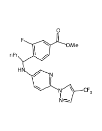 CCCC(Nc1ccc(-n2cc(C(F)(F)F)cn2)nc1)c1ccc(C(=O)OC)cc1F